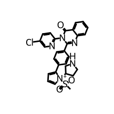 CS(=O)(=O)[N+]1(C2CCNC2)C=CC=C1c1ccc(-c2nc3ccccc3c(=O)n2-c2ccc(Cl)cn2)cc1